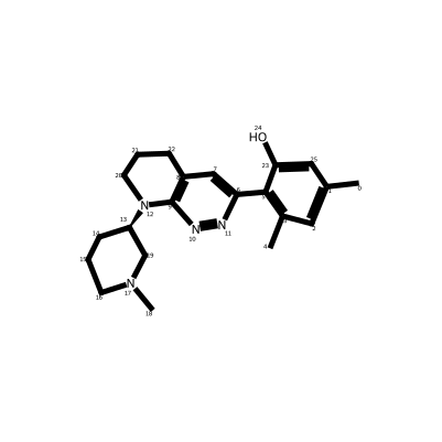 Cc1cc(C)c(-c2cc3c(nn2)N([C@@H]2CCCN(C)C2)CCC3)c(O)c1